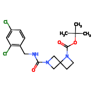 CC(C)(C)OC(=O)N1CCC12CN(C(=O)NCc1ccc(Cl)cc1Cl)C2